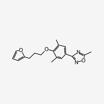 Cc1nc(-c2cc(C)c(OCCCc3ccco3)c(C)c2)no1